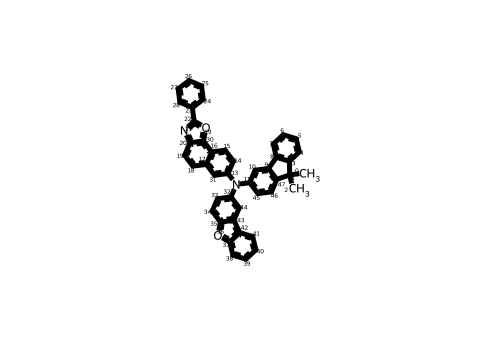 CC1(C)c2ccccc2-c2cc(N(c3ccc4c(ccc5nc(-c6ccccc6)oc54)c3)c3ccc4oc5ccccc5c4c3)ccc21